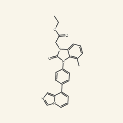 CCOC(=O)Cn1c(=O)n(-c2ccc(-c3cccn4cncc34)cc2)c2c(C)cccc21